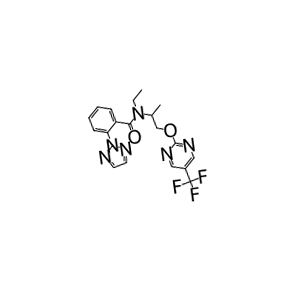 CCN(C(=O)c1ccccc1-n1nccn1)C(C)COc1ncc(C(F)(F)F)cn1